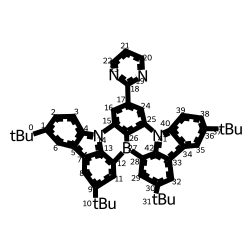 CC(C)(C)c1ccc2c(c1)c1cc(C(C)(C)C)cc3c1n2-c1cc(-c2ncccn2)cc2c1B3c1cc(C(C)(C)C)cc3c4cc(C(C)(C)C)ccc4n-2c13